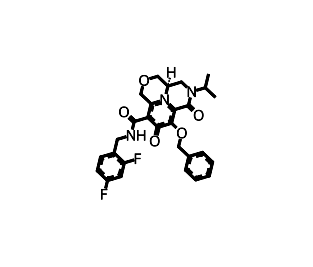 CC(C)N1C[C@@H]2COCc3c(C(=O)NCc4ccc(F)cc4F)c(=O)c(OCc4ccccc4)c(n32)C1=O